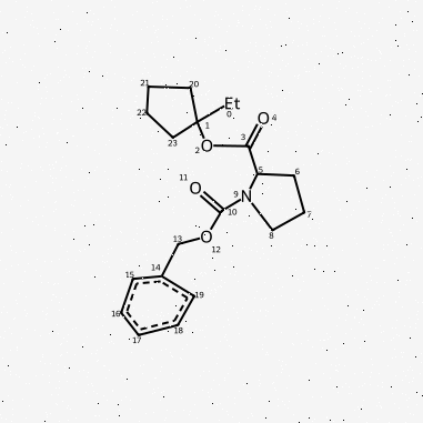 CCC1(OC(=O)C2CCCN2C(=O)OCc2ccccc2)CCCC1